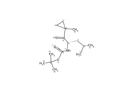 CC(C)C[C@H](NC(=O)OC(C)(C)C)C(=O)C1(C)CC1